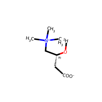 [2H]O[C@H](CC(=O)[O-])C[N+](C)(C)C